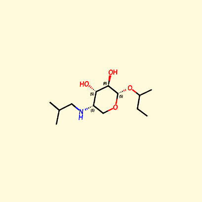 CCC(C)O[C@@H]1OC[C@H](NCC(C)C)[C@H](O)[C@H]1O